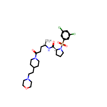 O=C(O)[C@H](CCC(=O)N1CCC(CCN2CCOCC2)CC1)NC(=O)[C@@H]1CCCN1S(=O)(=O)c1cc(Cl)cc(Cl)c1